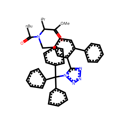 CCCCC(=O)N(Cc1ccc(-c2ccccc2)c(-c2nnnn2C(c2ccccc2)(c2ccccc2)c2ccccc2)c1)C(C(=O)OC)C(C)C